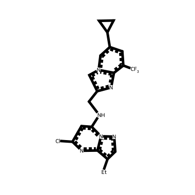 CCc1cnn2c(NCc3cn4cc(C5CC5)cc(C(F)(F)F)c4n3)cc(Cl)nc12